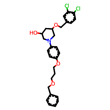 OC1CC(OCc2ccc(Cl)c(Cl)c2)CN(c2ccc(OCCCOCc3ccccc3)cc2)C1